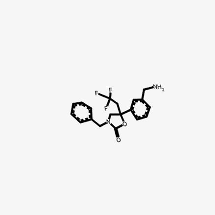 NCc1cccc(C2(CC(F)(F)F)CN(Cc3ccccc3)C(=O)O2)c1